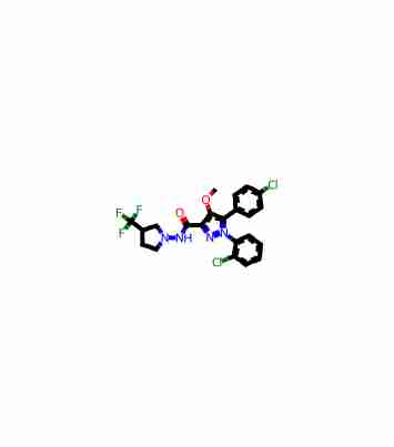 COc1c(C(=O)NN2CCC(C(F)(F)F)C2)nn(-c2ccccc2Cl)c1-c1ccc(Cl)cc1